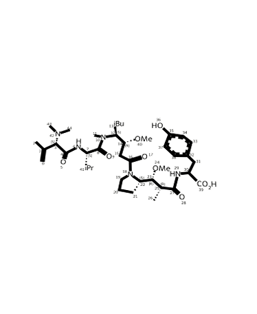 C=C(C)[C@@H](C(=O)N[C@H](C(=O)N(C)[C@@H](C(C)CC)[C@@H](CC(=O)N1CCC[C@H]1[C@H](OC)[C@@H](C)C(=O)NC(Cc1ccc(O)cc1)C(=O)O)OC)C(C)C)N(C)C